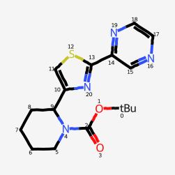 CC(C)(C)OC(=O)N1CCCCC1c1csc(-c2cnccn2)n1